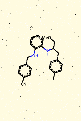 COCC(Cc1ccc(C)cc1)Nc1ccccc1NCc1ccc(C#N)cc1